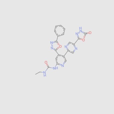 CCNC(=O)Nc1cc(-c2nnc(-c3ccccc3)o2)c(-c2cnc(-c3n[nH]c(=O)o3)cn2)cn1